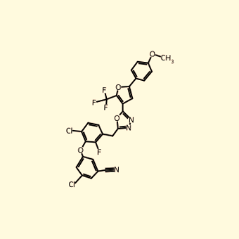 COc1ccc(-c2cc(-c3nnc(Cc4ccc(Cl)c(Oc5cc(Cl)cc(C#N)c5)c4F)o3)c(C(F)(F)F)o2)cc1